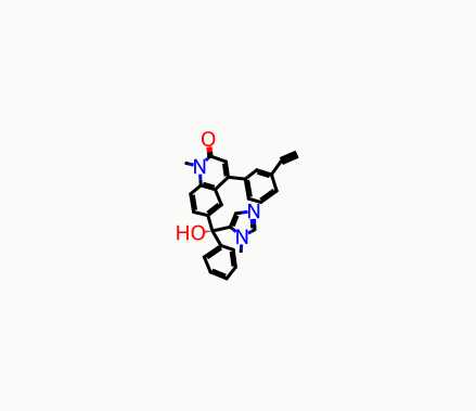 C#Cc1cccc(-c2cc(=O)n(C)c3ccc([C@](O)(c4ccccc4)c4cncn4C)cc23)c1